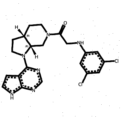 O=C(CNc1cc(Cl)cc(Cl)c1)N1CC[C@H]2CCN(c3ncnc4[nH]ccc34)[C@H]2C1